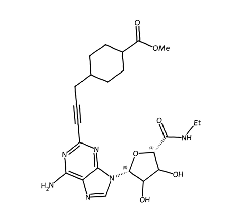 CCNC(=O)[C@H]1O[C@@H](n2cnc3c(N)nc(C#CCC4CCC(C(=O)OC)CC4)nc32)C(O)C1O